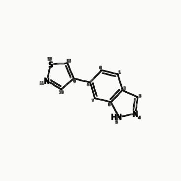 c1cc2cn[nH]c2cc1-c1cnsc1